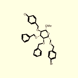 CO[C@@H]1O[C@H](COCc2ccc(Br)cc2)[C@@H](OCc2ccccc2)[C@H](OCc2ccccc2)[C@H]1OCc1ccc(Cl)cc1